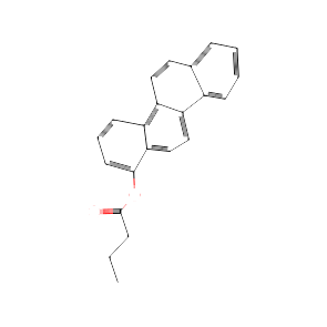 CCCC(=O)Oc1cccc2c1ccc1c3ccccc3ccc21